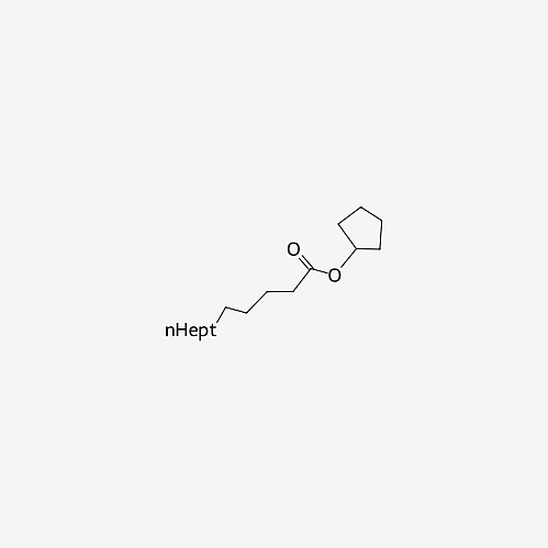 [CH2]CCCCCCCCCCC(=O)OC1CCCC1